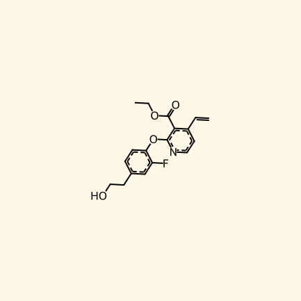 C=Cc1ccnc(Oc2ccc(CCO)cc2F)c1C(=O)OCC